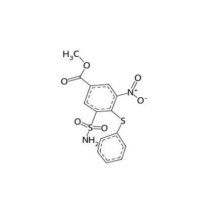 COC(=O)c1cc([N+](=O)[O-])c(Sc2ccccc2)c(S(N)(=O)=O)c1